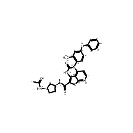 CCC(=O)N[C@@H]1CC[C@H](NC(=O)c2sc3nccc4c3c2NC(=O)N4c2ccc(Oc3ccccc3)cc2C)C1